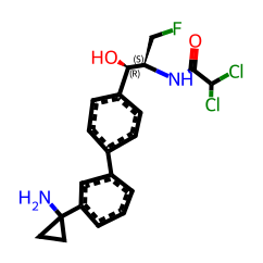 NC1(c2cccc(-c3ccc([C@@H](O)[C@@H](CF)NC(=O)C(Cl)Cl)cc3)c2)CC1